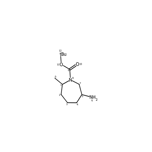 CC1CCCC(N)CN1C(=O)OC(C)(C)C